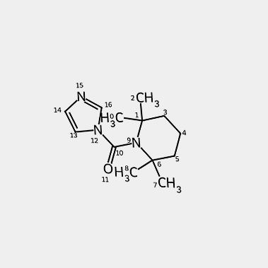 CC1(C)CCCC(C)(C)N1C(=O)n1ccnc1